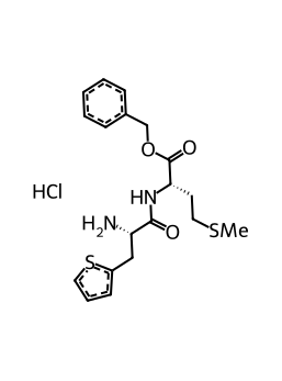 CSCC[C@H](NC(=O)[C@@H](N)Cc1cccs1)C(=O)OCc1ccccc1.Cl